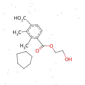 C1CCCCC1.Cc1c(C(=O)O)ccc(C(=O)OCCO)c1C